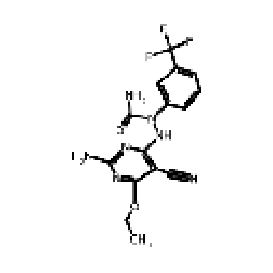 CCOc1nc(N)nc(NN(C(N)=O)c2cccc(C(F)(F)F)c2)c1C#N